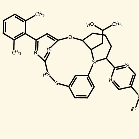 Cc1cccc(C)c1-c1cc2nc(n1)NSc1cccc(c1)N1C(c3ncc(OC(C)C)cn3)CCCC(O2)C1CC(C)O